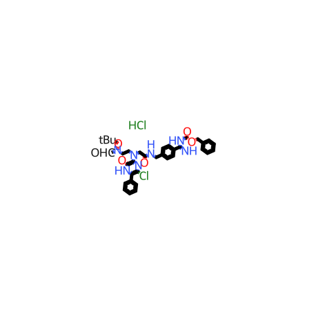 CC(C)(C)ON(C=O)CCN(CC(=O)NCc1ccc(C(=N)NC(=O)OCc2ccccc2)cc1)c1nc(Cl)c(-c2ccccc2)[nH]c1=O.Cl